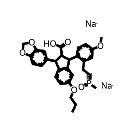 CCCOc1ccc2c(c1)C(c1ccc(OC)cc1CC[PH](C)=O)C(C(=O)O)C2c1ccc2c(c1)OCO2.[Na].[Na]